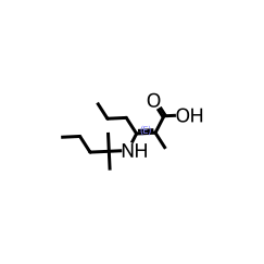 CCC/C(NC(C)(C)CCC)=C(/C)C(=O)O